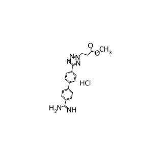 COC(=O)CCn1nnc(-c2ccc(-c3ccc(C(=N)N)cc3)cc2)n1.Cl